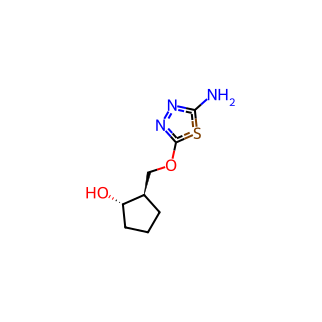 Nc1nnc(OC[C@H]2CCC[C@@H]2O)s1